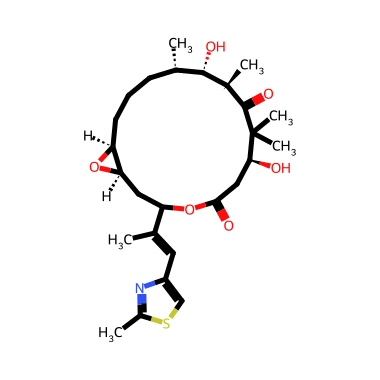 C/C(=C\c1csc(C)n1)C1C[C@H]2O[C@H]2CCC[C@H](C)[C@H](O)[C@@H](C)C(=O)C(C)(C)[C@@H](O)CC(=O)O1